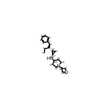 CC/C(=C\c1ccccc1)[C@@H]1C[C@H]1NC1CCN(C2COC2)CC1